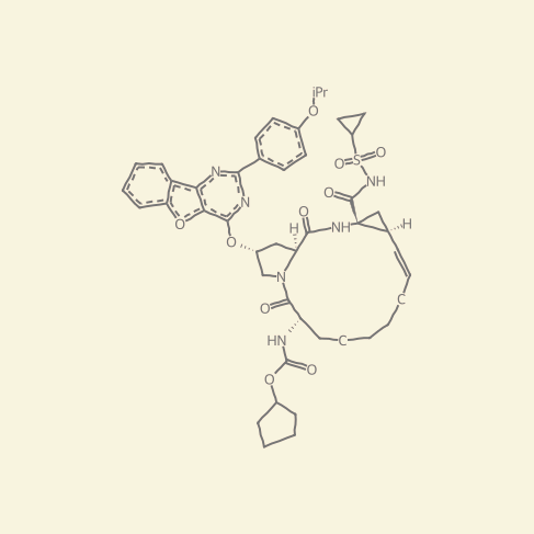 CC(C)Oc1ccc(-c2nc(O[C@@H]3C[C@H]4C(=O)N[C@]5(C(=O)NS(=O)(=O)C6CC6)C[C@H]5/C=C\CCCCC[C@H](NC(=O)OC5CCCC5)C(=O)N4C3)c3oc4ccccc4c3n2)cc1